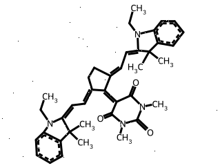 CCN1/C(=C/C=C2\CC/C(=C\C=C3\N(CC)c4ccccc4C3(C)C)C2=C2C(=O)N(C)C(=O)N(C)C2=O)C(C)(C)c2ccccc21